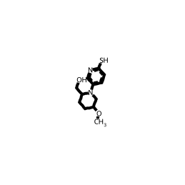 COC1CCC(CO)N(c2ccc(S)nc2)C1